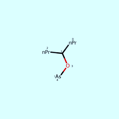 CCCC(CCC)O[As]